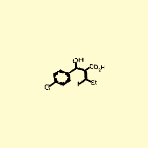 CCC(I)=C(C(=O)O)C(O)c1ccc(Cl)cc1